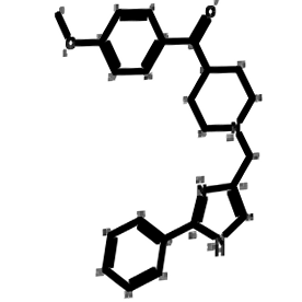 COc1ccc(C(=O)C2CCN(Cc3c[nH]c(-c4ccccc4)n3)CC2)cc1